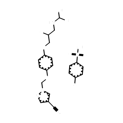 CC(C)NCC(O)COc1ccc(OCn2cc(C#N)cn2)cc1.Cc1ccc(S(=O)(=O)O)cc1